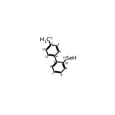 Cc1ccc(-c2ccccc2[SeH])cc1